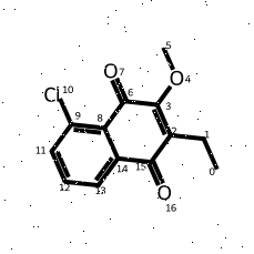 CCC1=C(OC)C(=O)c2c(Cl)cccc2C1=O